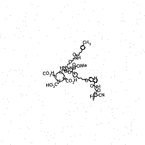 COC(=O)C[C@H](NC(=O)[C@H](CCOCCNC(=O)CCCc1ccc(C)cc1)NC(=O)CN1CCN(CC(=O)O)CCN(CC(=O)O)CCN(CC(=O)O)CC1)C(=O)N1CCC(CCCCOc2ccc3nccc(C(=O)NCC(=O)N4CC(F)(F)C[C@@H]4C#N)c3c2)CC1